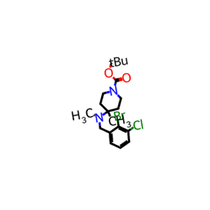 CN(Cc1cccc(Cl)c1Br)C1(C)CCN(C(=O)OC(C)(C)C)CC1